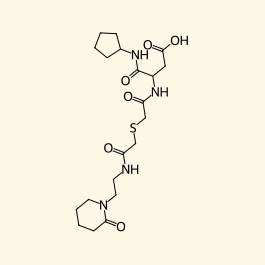 O=C(O)CC(NC(=O)CSCC(=O)NCCN1CCCCC1=O)C(=O)NC1CCCC1